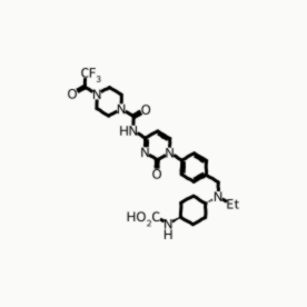 CCN(Cc1ccc(-n2ccc(NC(=O)N3CCN(C(=O)C(F)(F)F)CC3)nc2=O)cc1)[C@H]1CC[C@H](NC(=O)O)CC1